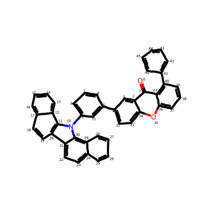 O=c1c2cc(-c3cccc(-n4c5c6ccccc6ccc5c5ccc6ccccc6c54)c3)ccc2oc2cccc(-c3ccccc3)c12